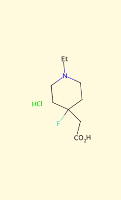 CCN1CCC(F)(CC(=O)O)CC1.Cl